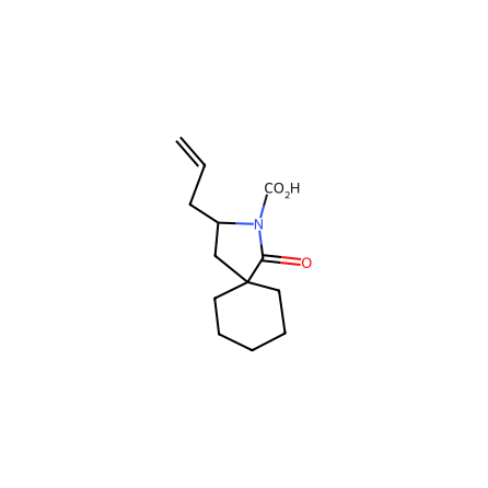 C=CCC1CC2(CCCCC2)C(=O)N1C(=O)O